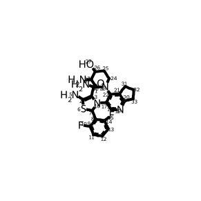 NC(=O)C1=C(N)SC(c2c(F)cccc2F)N1c1cnc2c(c1N1CCC(O)C(N)C1)CCC2